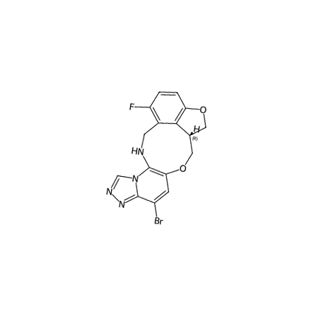 Fc1ccc2c3c1CNc1c(cc(Br)c4nncn14)OC[C@H]3CO2